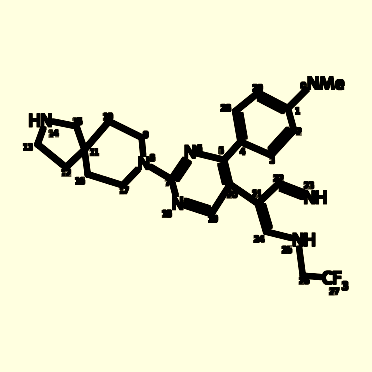 CNc1ccc(-c2nc(N3CCC4(CCNC4)CC3)ncc2/C(C=N)=C/NCC(F)(F)F)cc1